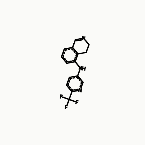 FC(F)(F)c1ccc(Nc2cccc3c2CCN=C3)cn1